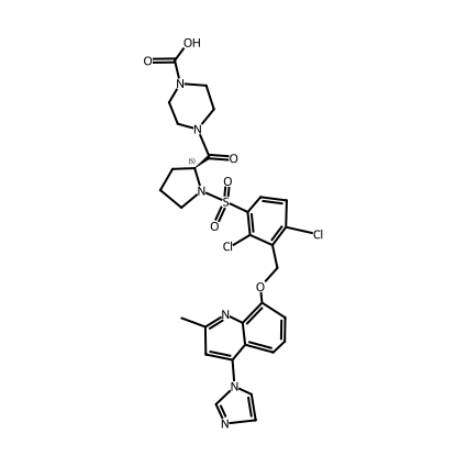 Cc1cc(-n2ccnc2)c2cccc(OCc3c(Cl)ccc(S(=O)(=O)N4CCC[C@H]4C(=O)N4CCN(C(=O)O)CC4)c3Cl)c2n1